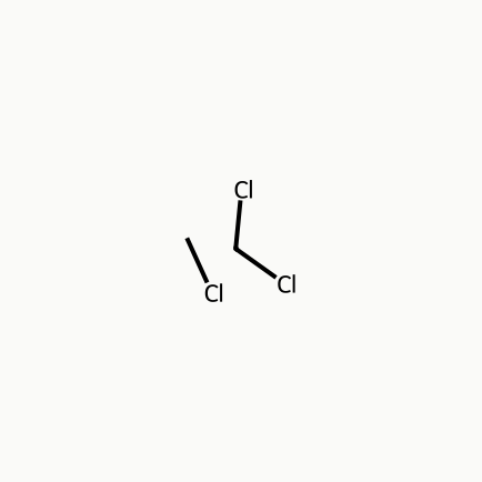 CCl.ClCCl